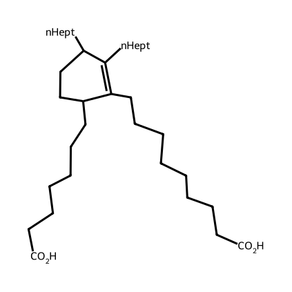 CCCCCCCC1=C(CCCCCCCCC(=O)O)C(CCCCCCC(=O)O)CCC1CCCCCCC